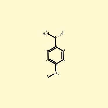 [CH2][C@@H](N)c1ccc(OC)cc1